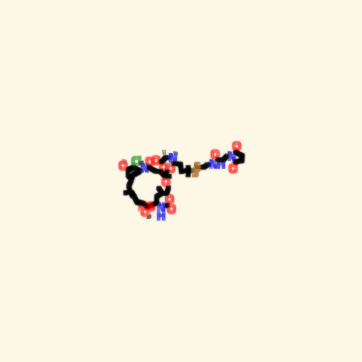 COc1cc2cc(c1Cl)N(C)C(=O)C[C@H](OC(=O)[C@H](C)N(C)C(=O)CCC(C)(C)SSCCNC(=O)CCN1C(=O)C=CC1=O)C(C)(C)OCC1OC(=O)N[C@](O)(CC1C)[C@H](OC)/C=C/C=C(\C)C2